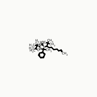 C=CCCCCCC(N(C(=O)O)C(C)(B1OC(C)(C)C(C)(C)O1)c1ccccc1)C(C)(C)C